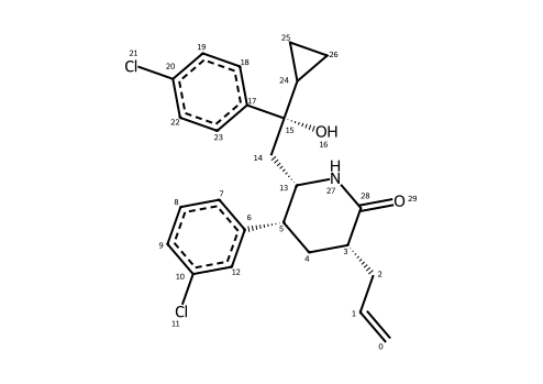 C=CC[C@@H]1C[C@H](c2cccc(Cl)c2)[C@H](C[C@@](O)(c2ccc(Cl)cc2)C2CC2)NC1=O